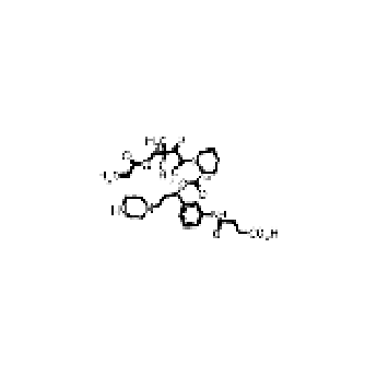 C=CC(=O)OCC(C)(C)C(=O)C(=O)N1CCCC[C@H]1C(=O)OC(CCN1CCNCC1)c1cccc(NC(=O)CCC(=O)O)c1